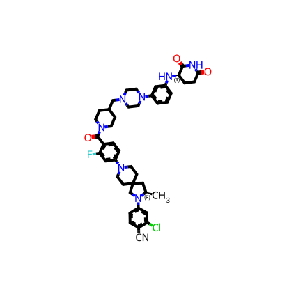 C[C@@H]1CC2(CCN(c3ccc(C(=O)N4CCC(CN5CCN(c6cccc(N[C@@H]7CCC(=O)NC7=O)c6)CC5)CC4)c(F)c3)CC2)CN1c1ccc(C#N)c(Cl)c1